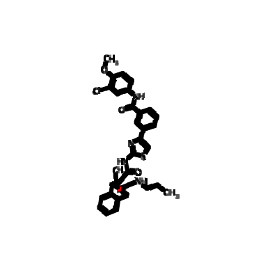 CCCNC1=NC2c3ccccc3C1CC2(C)C(=O)Nc1nc(-c2cccc(C(=O)Nc3ccc(OC)c(Cl)c3)c2)cs1